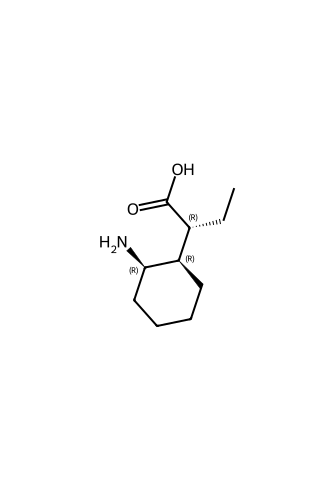 CC[C@@H](C(=O)O)[C@H]1CCCC[C@H]1N